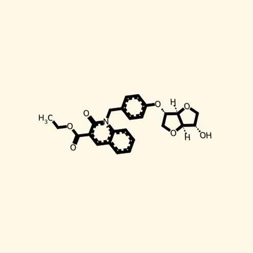 CCOC(=O)c1cc2ccccc2n(Cc2ccc(O[C@H]3CO[C@H]4[C@@H]3OC[C@@H]4O)cc2)c1=O